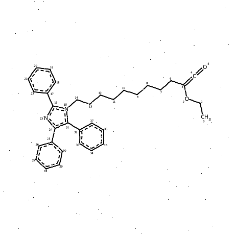 CCOC(=C=O)CCCCCCCCCn1c(-c2ccccc2)nc(-c2ccccc2)c1-c1ccccc1